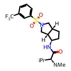 CN[C@H](C(=O)N[C@@H]1CC[C@H]2CN(S(=O)(=O)c3cccc(C(F)(F)F)c3)C[C@H]21)C(C)C